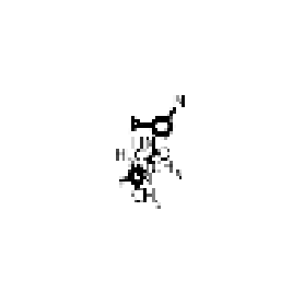 Cc1nn(C(C)(C)C(=O)Nc2ccc(C#N)cc2C2CC2)cc1I